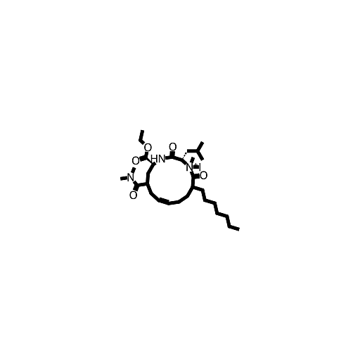 CCCCCCCC1CC/C=C\CC(C(=O)N(C)C)C[C@@H](C(=O)OCC)NC(=O)[C@H](CC(C)C)[N+](C)(I)C1=O